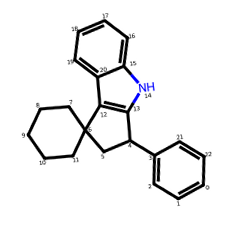 c1ccc(C2CC3(CCCCC3)c3c2[nH]c2ccccc32)cc1